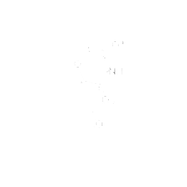 O=CO[C@@H]1COCC(=O)N1